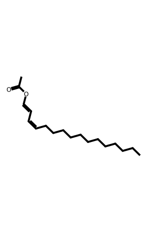 CCCCCCCCCCCC/C=C\C=C\OC(C)=O